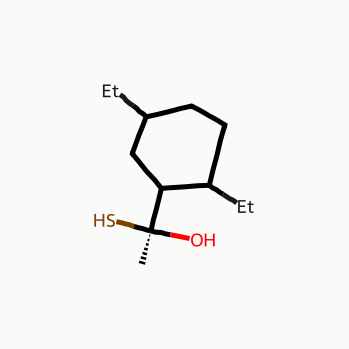 CCC1CCC(CC)C([C@@](C)(O)S)C1